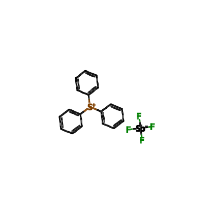 [F][Sb-]([F])([F])[F].c1ccc([S+](c2ccccc2)c2ccccc2)cc1